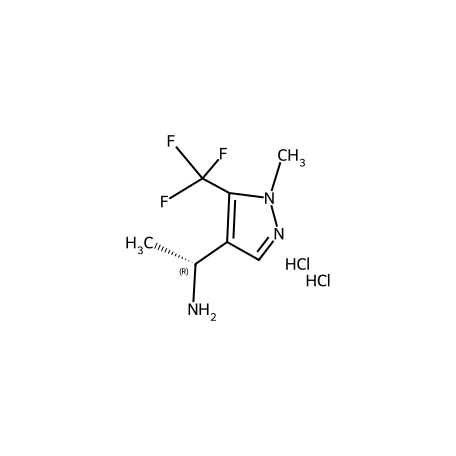 C[C@@H](N)c1cnn(C)c1C(F)(F)F.Cl.Cl